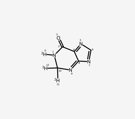 [2H]N1C(=O)C2=NC=NC2=NC1([2H])[2H]